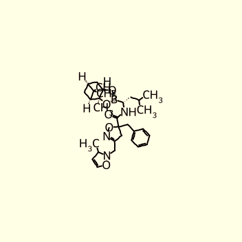 CC(C)C[C@H](NC(=O)C1(Cc2ccccc2)CC(CN2OC=CC2C)=NO1)B1O[C@@H]2C[C@@H]3C[C@@H](C3(C)C)[C@]2(C)O1